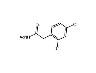 CC(=O)NC(=O)Cc1ccc(Cl)cc1Cl